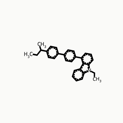 CCC(C)c1ccc(-c2ccc(-c3cccc4c3c3ccccc3n4CC)cc2)cc1